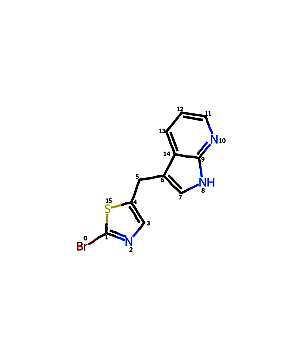 Brc1ncc(Cc2c[nH]c3ncccc23)s1